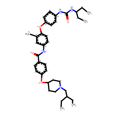 CCC(CC)CN1CCC(Oc2ccc(C(=O)Nc3ccc(Oc4ccc(NC(=O)NC(CC)CC)cc4)c(C)c3)cc2)CC1